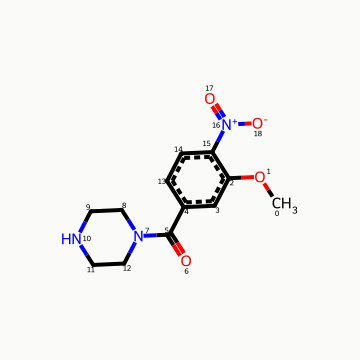 COc1cc(C(=O)N2CCNCC2)ccc1[N+](=O)[O-]